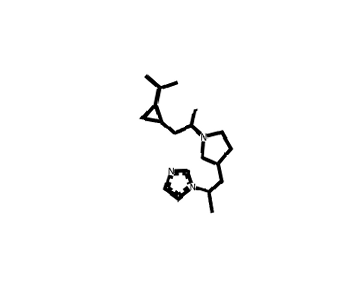 CC(C)C1CC1CC(C)N1CCC(CC(C)n2ccnc2)C1